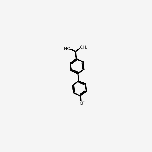 CC(O)c1ccc(-c2ccc(C(F)(F)F)cc2)cc1